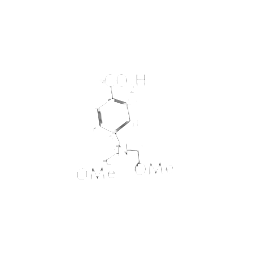 COCN(COC)c1ccc(C(=O)O)cc1